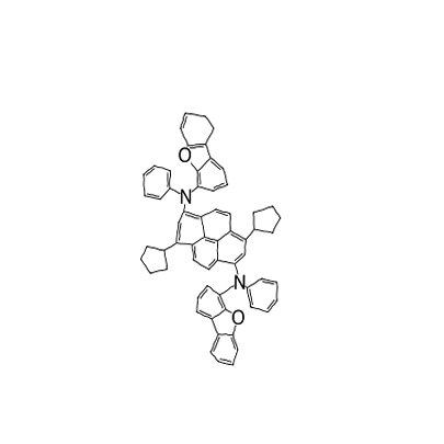 C1=Cc2oc3c(N(c4ccccc4)c4cc(C5CCCC5)c5ccc6c(N(c7ccccc7)c7cccc8c7oc7ccccc78)cc(C7CCCC7)c7ccc4c5c76)cccc3c2CC1